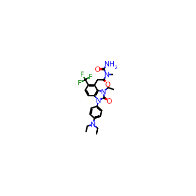 CCN(CC)c1ccc(-n2c(=O)n(CC)c3c(CC(=O)N(C)C(N)=O)c(C(F)(F)F)ccc32)cc1